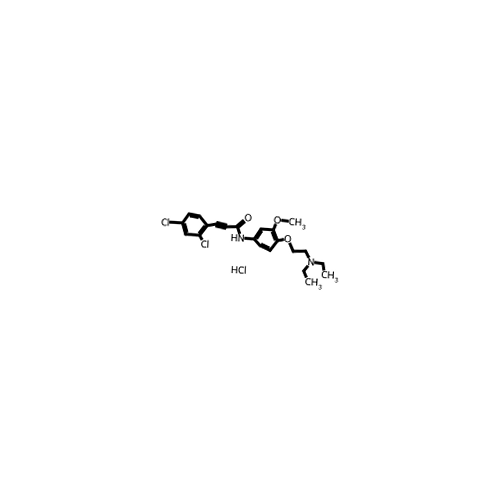 CCN(CC)CCOc1ccc(NC(=O)C#Cc2ccc(Cl)cc2Cl)cc1OC.Cl